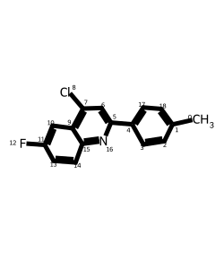 Cc1ccc(-c2cc(Cl)c3cc(F)ccc3n2)cc1